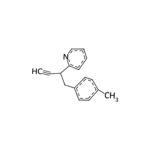 C#CC(Cc1ccc(C)cc1)c1ccccn1